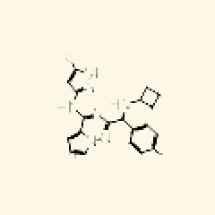 Cc1cc(Nc2nc(C(NC3CCC3)c3ccc(F)cc3)nn3cccc23)n[nH]1